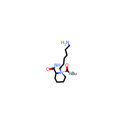 CCCCC(=O)[N+]1(CCCCCCN)CCCCC1C(N)=O